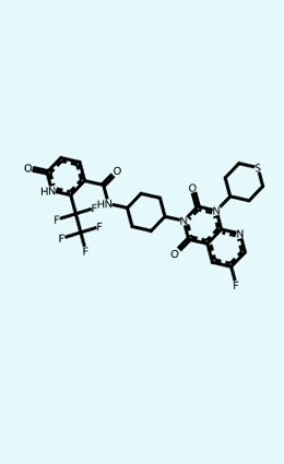 O=C(NC1CCC(n2c(=O)c3cc(F)cnc3n(C3CCSCC3)c2=O)CC1)c1ccc(=O)[nH]c1C(F)(F)C(F)(F)F